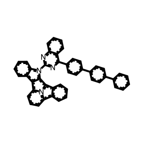 c1ccc(-c2ccc(-c3ccc(-c4nc(-n5c6ccccc6c6c5c5c7ccccc7c7cccc6n75)nc5ccccc45)cc3)cc2)cc1